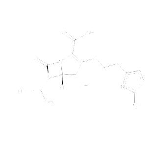 C[C@@H](O)[C@H]1C(=O)N2C(C(=O)O)=C(SCCc3csc(N)n3)[C@H](C)[C@H]12